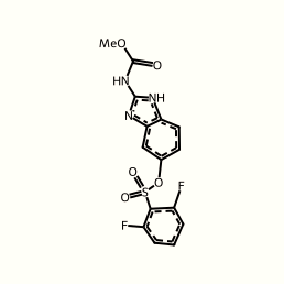 COC(=O)Nc1nc2cc(OS(=O)(=O)c3c(F)cccc3F)ccc2[nH]1